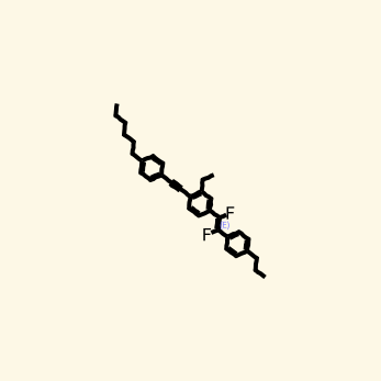 CCCCCCc1ccc(C#Cc2ccc(/C(F)=C(\F)c3ccc(CCC)cc3)cc2CC)cc1